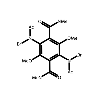 CNC(=O)c1c(OC)c(N(Br)C(C)=O)c(C(=O)NC)c(OC)c1N(Br)C(C)=O